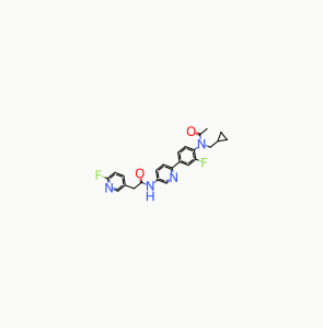 CC(=O)N(CC1CC1)c1ccc(-c2ccc(NC(=O)Cc3ccc(F)nc3)cn2)cc1F